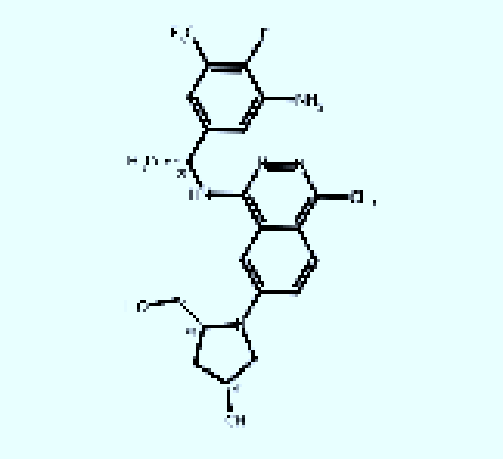 Cc1nnc(N[C@H](C)c2cc(N)c(F)c(C(F)(F)F)c2)c2cc(N3C[C@@H](C)C[C@@H]3CO)ccc12